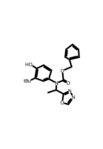 CC(c1nnco1)N(C(=O)OCc1ccccc1)c1ccc(O)c(C(C)(C)C)c1